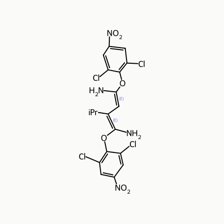 CC(C)C(/C=C(\N)Oc1c(Cl)cc([N+](=O)[O-])cc1Cl)=C(/N)Oc1c(Cl)cc([N+](=O)[O-])cc1Cl